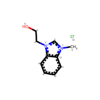 Cn1c[n+](CCO)c2ccccc21.[Cl-]